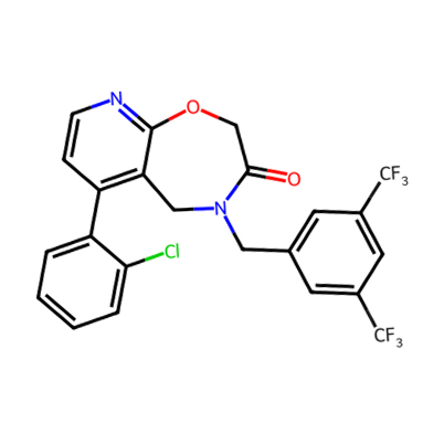 O=C1COc2nccc(-c3ccccc3Cl)c2CN1Cc1cc(C(F)(F)F)cc(C(F)(F)F)c1